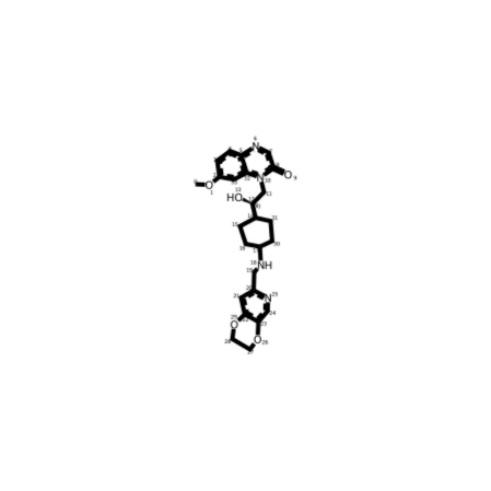 COc1ccc2ncc(=O)n(C[C@H](O)C3CCC(NCc4cc5c(cn4)OCCO5)CC3)c2c1